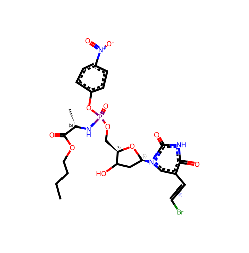 CCCCOC(=O)[C@H](C)NP(=O)(OC[C@H]1O[C@@H](n2cc(/C=C/Br)c(=O)[nH]c2=O)CC1O)Oc1ccc([N+](=O)[O-])cc1